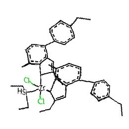 CCC1=Cc2c(-c3ccc(CC)cc3)ccc(C)c2[CH]1[Zr]([Cl])([Cl])([CH]1C(C)=Cc2c(-c3ccc(CC)cc3)ccc(C)c21)[SiH](CC)CC